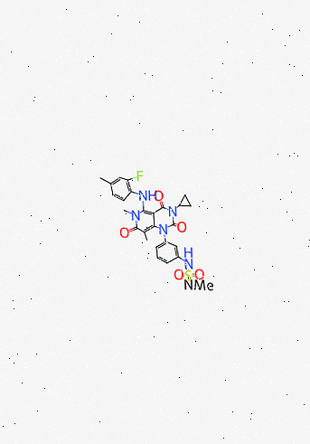 CNS(=O)(=O)Nc1cccc(-n2c(=O)n(C3CC3)c(=O)c3c(Nc4ccc(C)cc4F)n(C)c(=O)c(C)c32)c1